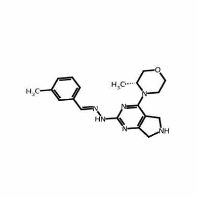 Cc1cccc(/C=N/Nc2nc3c(c(N4CCOC[C@H]4C)n2)CNC3)c1